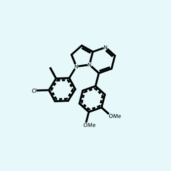 COc1ccc(C2=CC=NC3=CCN(c4cccc(Cl)c4C)N32)cc1OC